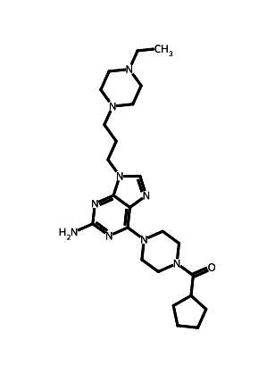 CCN1CCN(CCCn2cnc3c(N4CCN(C(=O)C5CCCC5)CC4)nc(N)nc32)CC1